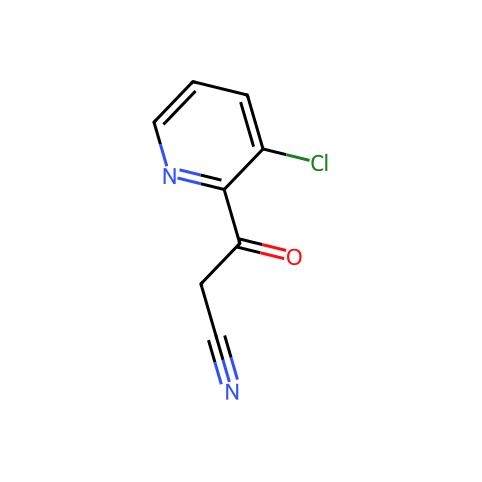 N#CCC(=O)c1ncccc1Cl